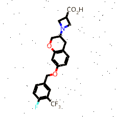 O=C(O)C1CN(C2COc3cc(OCc4ccc(F)c(C(F)(F)F)c4)ccc3C2)C1